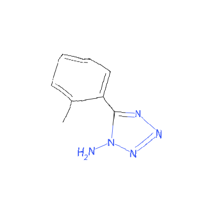 Cc1ccccc1-c1nnnn1N